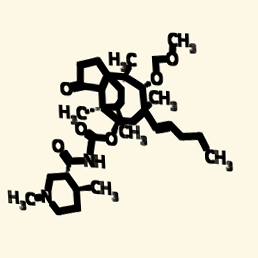 CCCC=C[C@]1(C)C[C@@H](OC(=O)NC(=O)[C@H]2CN(C)CC[C@@H]2C)[C@@]2(C)C3C(=O)CCC3(CC[C@H]2C)[C@@H](C)[C@@H]1OCOC